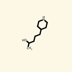 CC(O)CCCC1CCNCC1